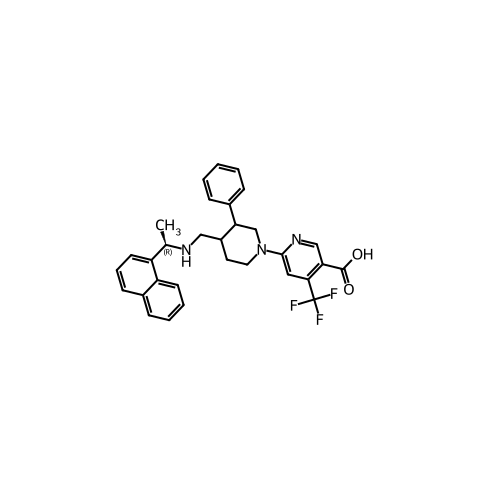 C[C@@H](NCC1CCN(c2cc(C(F)(F)F)c(C(=O)O)cn2)CC1c1ccccc1)c1cccc2ccccc12